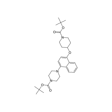 CC(C)(C)OC(=O)N1CCC(Oc2ccc(N3CCN(C(=O)OC(C)(C)C)CC3)c3ccccc23)CC1